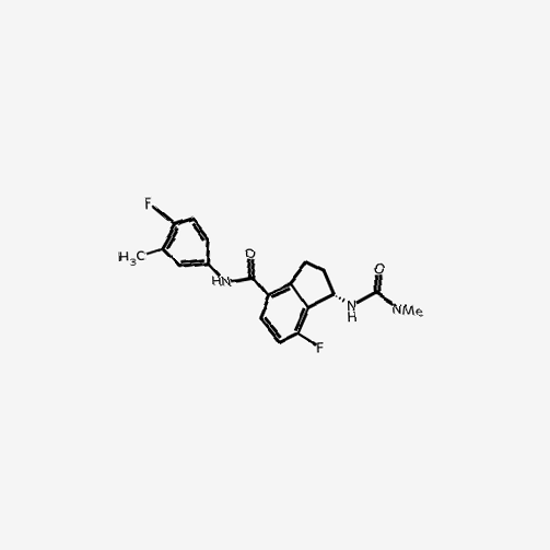 CNC(=O)N[C@H]1CCc2c(C(=O)Nc3ccc(F)c(C)c3)ccc(F)c21